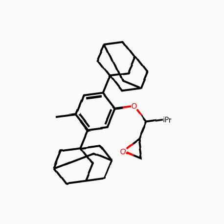 Cc1cc(C23CC4CC(CC(C4)C2)C3)c(OC(C(C)C)C2CO2)cc1C12CC3CC(CC(C3)C1)C2